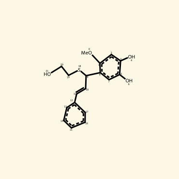 COc1cc(O)c(O)cc1C(/C=C/c1ccccc1)SCCO